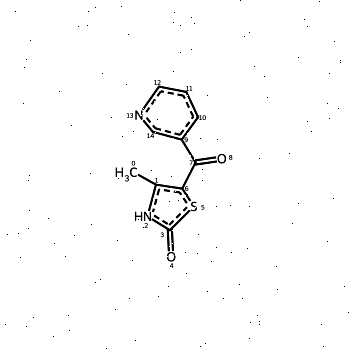 Cc1[nH]c(=O)sc1C(=O)c1cccnc1